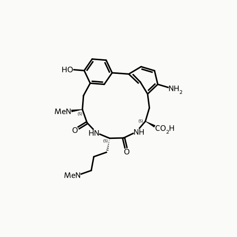 CNCCC[C@@H]1NC(=O)[C@@H](NC)Cc2cc(ccc2O)-c2ccc(N)c(c2)C[C@@H](C(=O)O)NC1=O